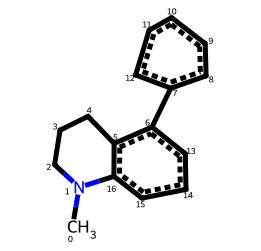 CN1CCCc2c(-c3ccccc3)cccc21